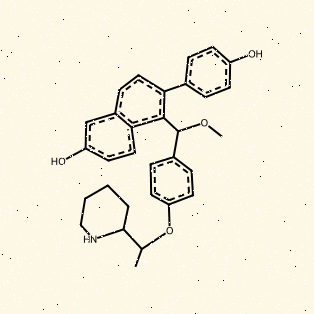 COC(c1ccc(OC(C)C2CCCCN2)cc1)c1c(-c2ccc(O)cc2)ccc2cc(O)ccc12